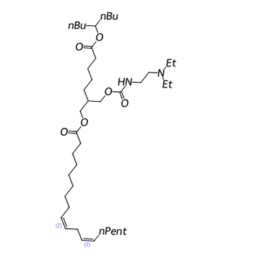 CCCCC/C=C\C/C=C\CCCCCCCC(=O)OCC(CCCCC(=O)OC(CCCC)CCCC)COC(=O)NCCN(CC)CC